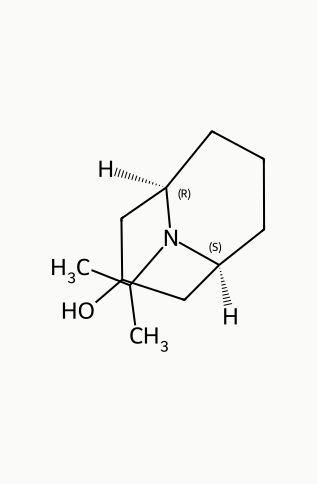 CC(C)N1[C@@H]2CCC[C@H]1CC(O)C2